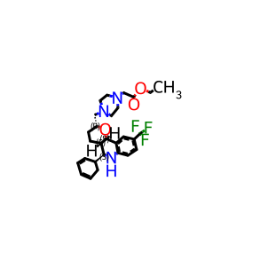 CCOC(=O)CN1CCN(C[C@H]2CC[C@@H]3[C@H](O2)c2cc(C(F)(F)F)ccc2N[C@H]3C2C=CC=CC2)CC1